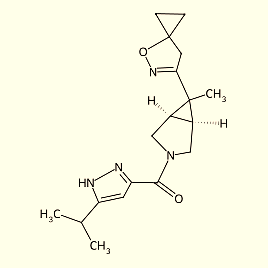 CC(C)c1cc(C(=O)N2C[C@@H]3[C@H](C2)C3(C)C2=NOC3(CC3)C2)n[nH]1